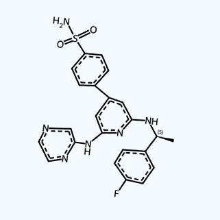 C[C@H](Nc1cc(-c2ccc(S(N)(=O)=O)cc2)cc(Nc2cnccn2)n1)c1ccc(F)cc1